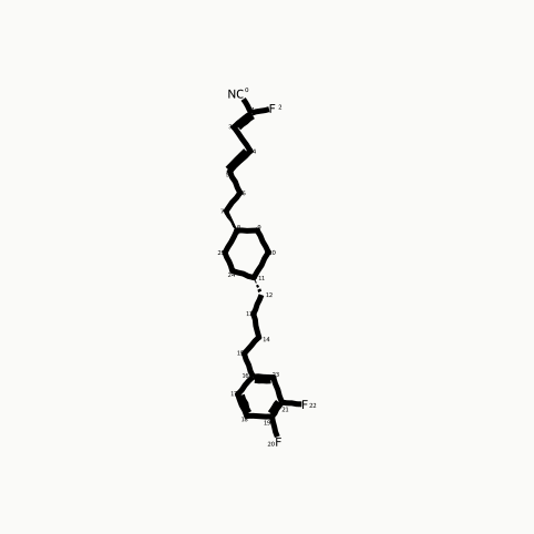 N#C/C(F)=C/C=C/CC[C@H]1CC[C@H](CCCCc2ccc(F)c(F)c2)CC1